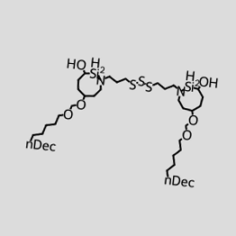 CCCCCCCCCCCCCCCOCOC1CCC(O)[SiH2]N(CCCSSSCCCN2CCC(OCOCCCCCCCCCCCCCCC)CCC(O)[SiH2]2)CC1